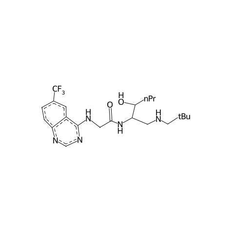 CCCC(O)C(CNCC(C)(C)C)NC(=O)CNc1ncnc2ccc(C(F)(F)F)cc12